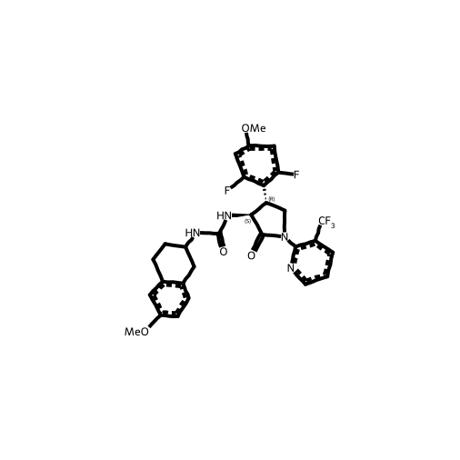 COc1cc(F)c([C@@H]2CN(c3ncccc3C(F)(F)F)C(=O)[C@H]2NC(=O)NC2CCc3cc(OC)ccc3C2)c(F)c1